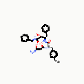 COc1ccc(C[C@H](NC(=O)[CH]C(N)=O)C(=O)N[C@@H](Cc2ccccc2)[C@H](O)C(=O)NCc2ccccc2)cc1